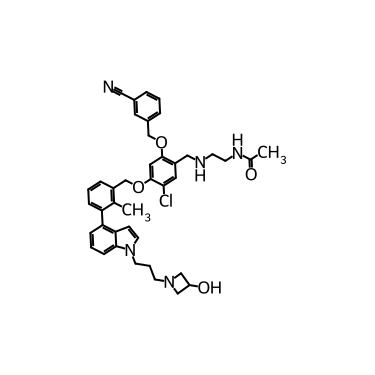 CC(=O)NCCNCc1cc(Cl)c(OCc2cccc(-c3cccc4c3ccn4CCCN3CC(O)C3)c2C)cc1OCc1cccc(C#N)c1